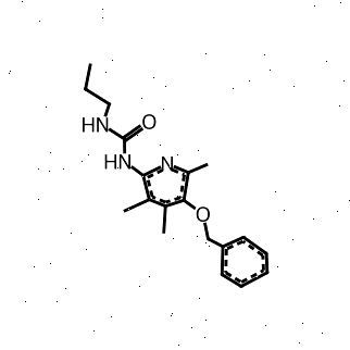 CCCNC(=O)Nc1nc(C)c(OCc2ccccc2)c(C)c1C